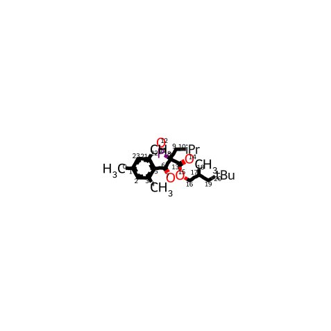 Cc1cc(C)c(C(=O)C(CC(C)C)(P=O)C(=O)OCC(C)CC(C)(C)C)c(C)c1